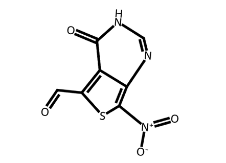 O=Cc1sc([N+](=O)[O-])c2nc[nH]c(=O)c12